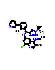 Cc1c(-c2cccnc2)cccc1[C@H](Nc1cc(Cl)c2ncc(C#N)c(NCC(C)(C)C)c2c1)C1=CN(C2(C(F)(F)F)CC2)NN1